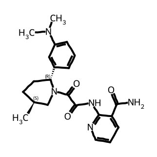 C[C@H]1CC[C@H](c2cccc(N(C)C)c2)N(C(=O)C(=O)Nc2ncccc2C(N)=O)C1